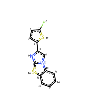 Fc1ccc(-c2cn3c(n2)sc2ccccc23)s1